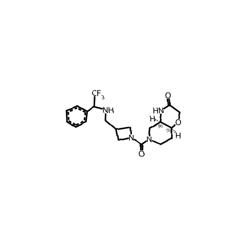 O=C1CO[C@H]2CCN(C(=O)N3CC(CNC(c4ccccc4)C(F)(F)F)C3)C[C@H]2N1